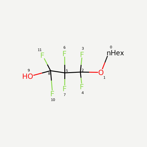 CCCCCCOC(F)(F)C(F)(F)C(O)(F)F